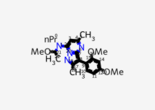 CCCN(c1cc(C)nc2c(-c3ccc(OC)cc3OC)c(C)nn12)C(C)OC